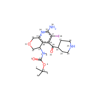 CN(C(=O)OC(C)(C)C)C1COCc2nc(N)c(I)c(C(=O)C3CCNCC3)c21